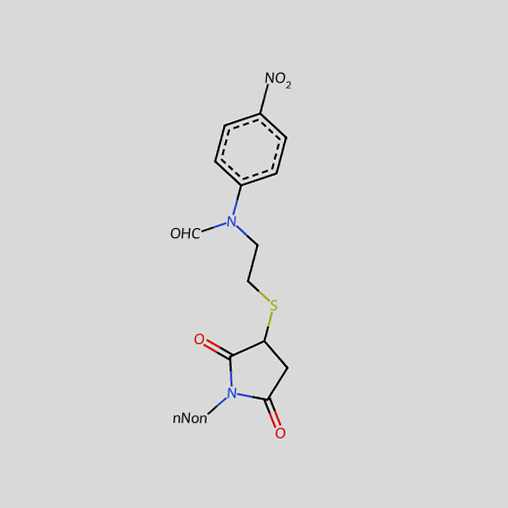 CCCCCCCCCN1C(=O)CC(SCCN(C=O)c2ccc([N+](=O)[O-])cc2)C1=O